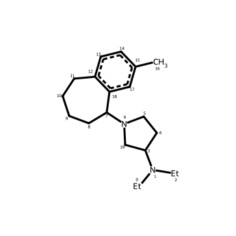 CCN(CC)C1CCN(C2CCCCc3ccc(C)cc32)C1